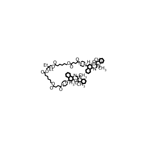 CCC(CC)(COC(=O)CCCCCOC(=O)CCC(=O)N1CCN(c2cc3c(c4ccccc24)N=CC2(O3)N(C)c3ccccc3C2(C)C)CC1)COC(=O)CCCCCOC(=O)CCC(=O)N1CCN(c2cc3c(c4ccccc24)N=CC2(O3)N(C)c3ccccc3C2(C)C)CC1